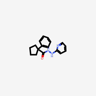 O=C(NNc1ccccn1)C1(c2ccccc2)CCCC1